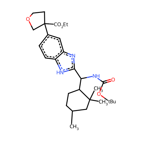 CCOC(=O)C1(c2ccc3[nH]c(C(NC(=O)OC(C)(C)C)C4CCC(C)CC4(C)C)nc3c2)CCOC1